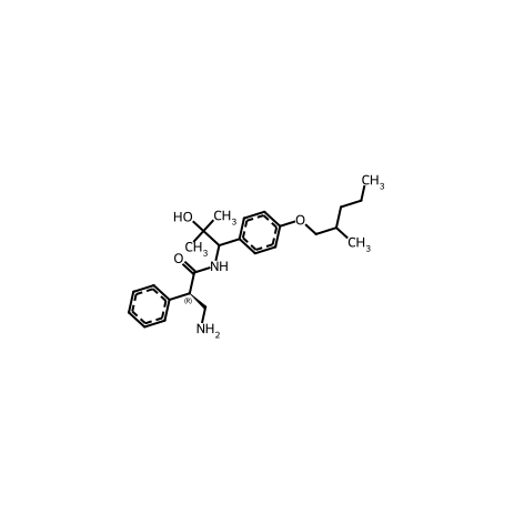 CCCC(C)COc1ccc(C(NC(=O)[C@@H](CN)c2ccccc2)C(C)(C)O)cc1